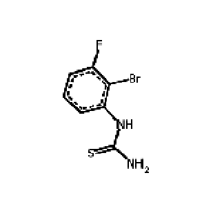 NC(=S)Nc1cccc(F)c1Br